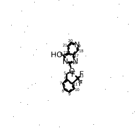 Oc1nc(OCc2ccccc2C(F)(F)F)nc2cnccc12